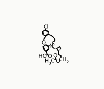 C=C[C@H](OC(C)=O)[C@@H]1CC[C@H]1CN1CCCCc2cc(Cl)ccc2COc2ccc(C(=O)O)cc21